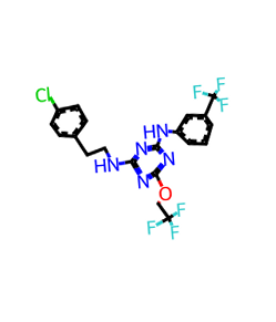 FC(F)(F)COc1nc(NCCc2ccc(Cl)cc2)nc(Nc2cccc(C(F)(F)F)c2)n1